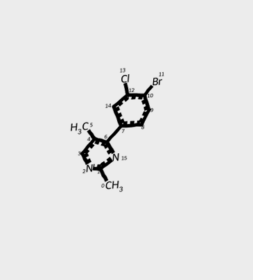 Cc1ncc(C)c(-c2ccc(Br)c(Cl)c2)n1